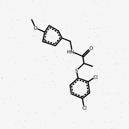 COc1ccc(CNC(=O)C(C)Sc2ccc(Cl)cc2Cl)cc1